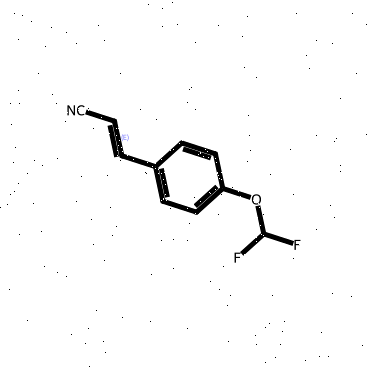 N#C/C=C/c1ccc(OC(F)F)cc1